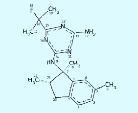 Cc1ccc2c(c1)[C@](C)(Nc1nc(N)nc(C(C)(C)F)n1)[C@@H](C)C2